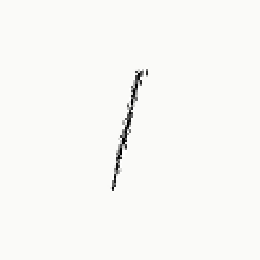 CCCCCCCCOCCCCOCCOCCOCCOCCOCCOCCOCCOCCOCCOCCO